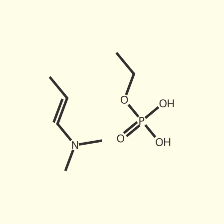 CC=CN(C)C.CCOP(=O)(O)O